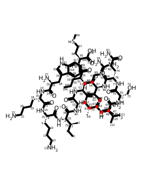 CC[C@H](C)[C@H](NC(=O)[C@H](CCCCN)NC(=O)[C@H](CCCCN)NC(=O)[C@@H](N)Cc1c[nH]c2ccccc12)C(=O)N[C@@H](CCCN=C(N)N)C(=O)N[C@@H](CCCN=C(N)N)C(=O)N[C@@H](C)C(=O)N[C@H](C(=O)N[C@@H](CO)C(=O)N[C@@H](CCC(N)=O)C(=O)N[C@H](C(=O)N[C@H](C(=O)N[C@@H](CCSC)C(=O)O)[C@@H](C)CC)C(C)C)C(C)C